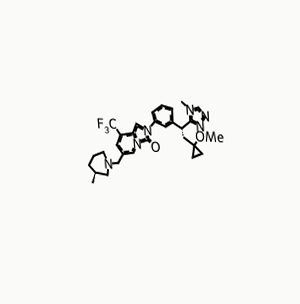 COC1(C[C@H](c2cccc(-n3cc4c(C(F)(F)F)cc(CN5CCC[C@H](C)C5)cn4c3=O)c2)c2nncn2C)CC1